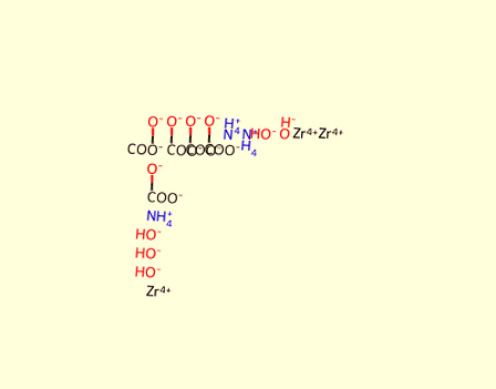 O=C([O-])[O-].O=C([O-])[O-].O=C([O-])[O-].O=C([O-])[O-].O=C([O-])[O-].[NH4+].[NH4+].[NH4+].[OH-].[OH-].[OH-].[OH-].[OH-].[Zr+4].[Zr+4].[Zr+4]